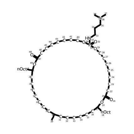 CCCCCCCCC1CCCCCCCC(C)CCCCCCC(CCCCCCCC)OC(=O)CCCCCCCOP(=O)(NCCCN(C)C)OCCCCCCCC(=O)O1